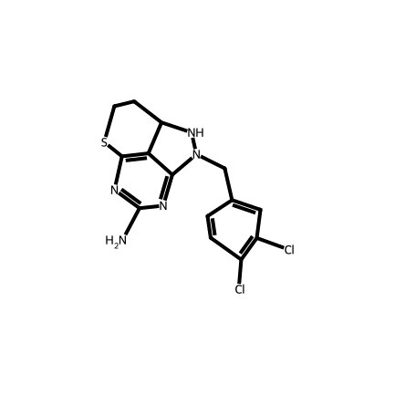 Nc1nc2c3c(n1)N(Cc1ccc(Cl)c(Cl)c1)NC3CCS2